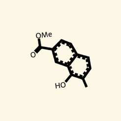 COC(=O)c1ccc2ccc(C)c(O)c2c1